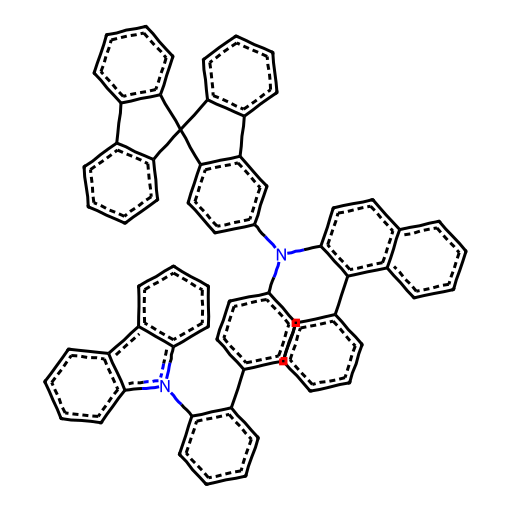 c1ccc(-c2c(N(c3ccc(-c4ccccc4-n4c5ccccc5c5ccccc54)cc3)c3ccc4c(c3)-c3ccccc3C43c4ccccc4-c4ccccc43)ccc3ccccc23)cc1